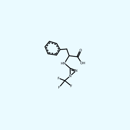 O=C(O)C(Cc1ccccc1)NC1=NN1C(F)(F)F